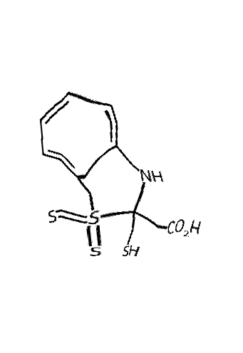 O=C(O)C1(S)Nc2ccccc2S1(=S)=S